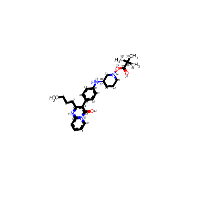 CCCCc1nc2ccccn2c(=O)c1-c1ccc(N[C@@H]2CCCN(OC(=O)C(C)(C)C)C2)cc1